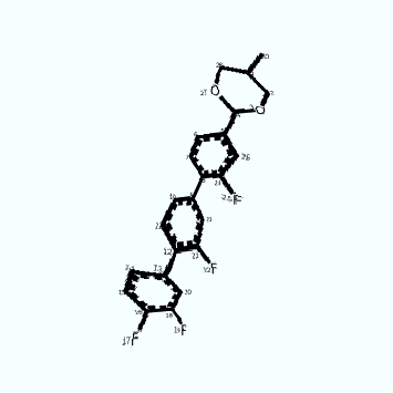 CC1COC(c2ccc(-c3ccc(-c4ccc(F)c(F)c4)c(F)c3)c(F)c2)OC1